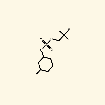 O=S(=O)(OCC(F)(F)F)OC1CCCC(F)C1